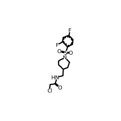 O=C(CCl)NCC1CCN(S(=O)(=O)c2ccc(F)cc2F)CC1